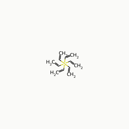 C=CS(C=C)(C=C)(C=C)(C=C)C=C